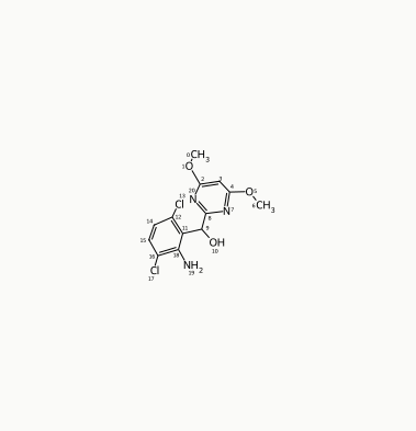 COc1cc(OC)nc(C(O)c2c(Cl)ccc(Cl)c2N)n1